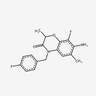 Cc1cc2c(c(F)c1N)OC(C)C(=O)N2Cc1ccc(F)cc1